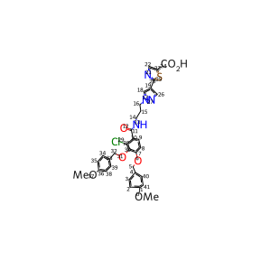 COc1ccc(COc2ccc(C(=O)NCCCn3cc(-c4ncc(C(=O)O)s4)cn3)c(Cl)c2OCc2ccc(OC)cc2)cc1